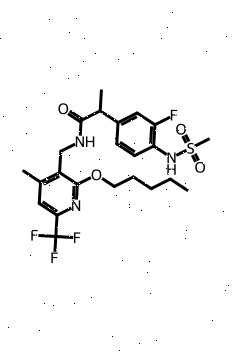 CCCCCOc1nc(C(F)(F)F)cc(C)c1CNC(=O)C(C)c1ccc(NS(C)(=O)=O)c(F)c1